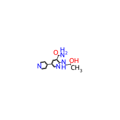 CC(O)CNc1ncc(-c2ccncc2)cc1C(N)=O